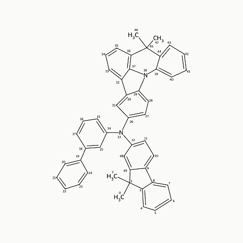 CC1(C)c2ccccc2-c2ccc(N(c3cccc(-c4ccccc4)c3)c3ccc4c(c3)c3cccc5c3n4-c3ccccc3C5(C)C)cc21